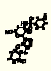 O=C(O)CC(NS(=O)(=O)c1cccc(F)c1)C(=O)Cn1nnc(Cc2c(Cl)cccc2Cl)n1